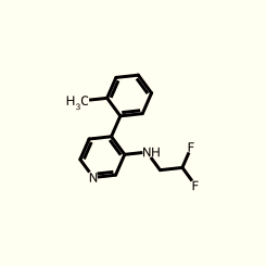 Cc1ccccc1-c1ccncc1NCC(F)F